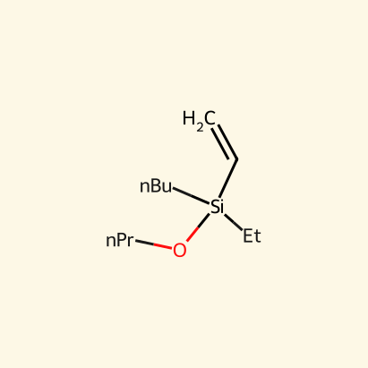 C=C[Si](CC)(CCCC)OCCC